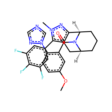 COc1ccc(-n2cncn2)c(C(=O)N2[C@H]3CCC[C@@H]2c2nn(C)c(-c4cc(F)c(F)c(F)c4)c2C3)c1